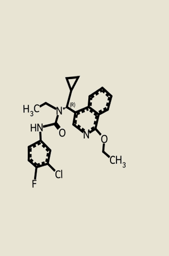 CCOc1ncc([C@@H](C2CC2)N(CC)C(=O)Nc2ccc(F)c(Cl)c2)c2ccccc12